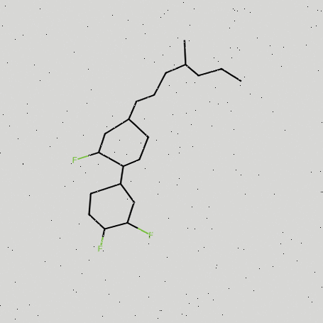 CCCC(C)CCCC1CCC(C2CCC(F)C(F)C2)C(F)C1